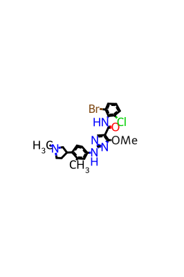 COc1nc(Nc2ccc(C3CCN(C)C3)c(C)c2)ncc1C(=O)Nc1c(Cl)cccc1Br